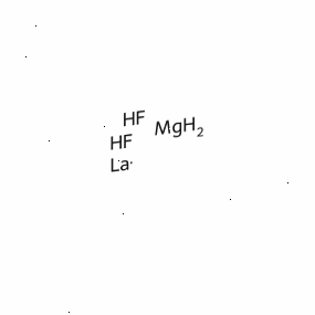 F.F.[La].[MgH2]